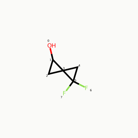 OC1CC12CC2(F)F